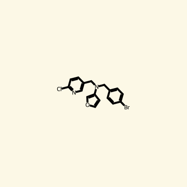 Clc1ccc(CN(Cc2ccc(Br)cc2)c2ccoc2)cn1